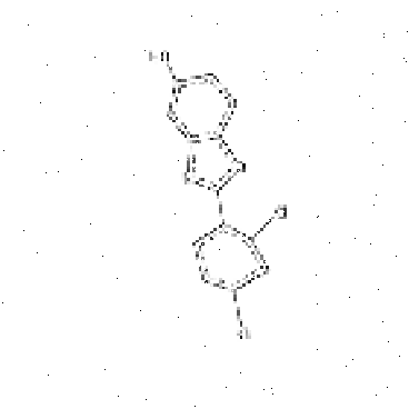 Oc1ccc2oc(-c3ccc(Cl)cc3Cl)nc2c1